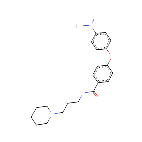 CN(C)c1ccc(Oc2ccc(C(=O)NCCCN3CCCCC3)cc2)cc1